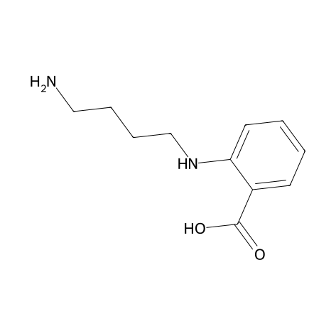 NCCCCNc1ccccc1C(=O)O